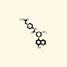 C[C@@H]1CN(c2ccc(C#N)c3ncccc23)C[C@H](C(=O)NC2CCN(CC(N)=O)CC2)O1